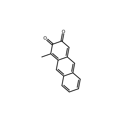 CC1=c2cc3ccccc3cc2=CC(=O)C1=O